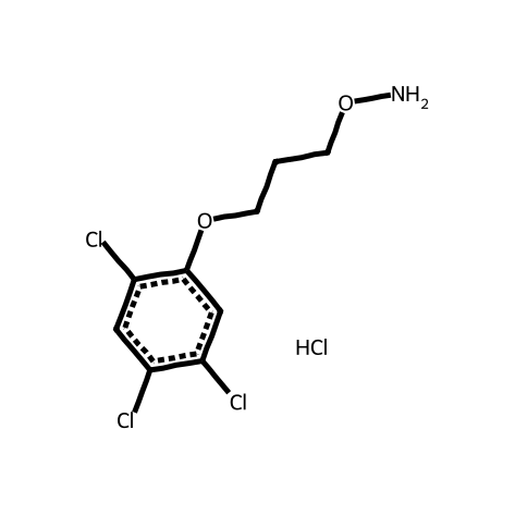 Cl.NOCCCOc1cc(Cl)c(Cl)cc1Cl